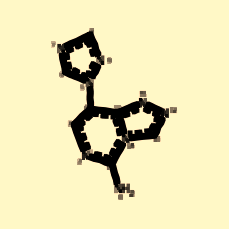 Nc1ncc(-n2cncn2)c2nncn12